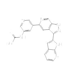 CCCC(=O)Nc1cncc(-c2cc3c(-c4cc5cccnc5[nH]4)n[nH]c3cn2)c1